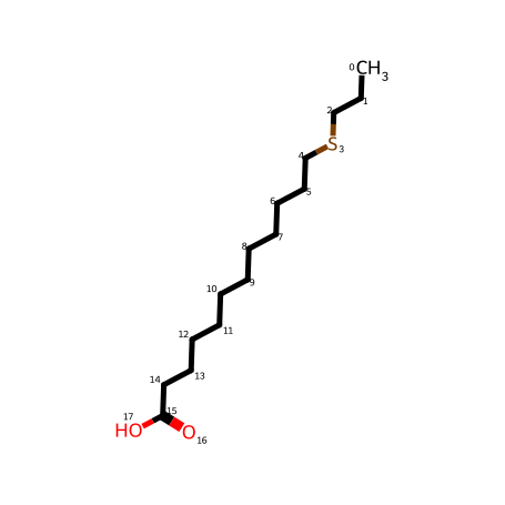 CCCSCCCCCCCCCCCC(=O)O